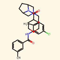 Cc1c(CN2CC3CCC(C2)N3C(=O)C2CCOCC2)cc(Cl)cc1NC(=O)c1cccc(C#N)c1